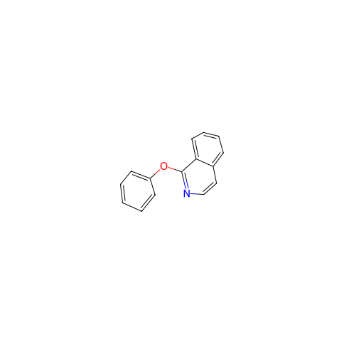 c1ccc(Oc2nccc3ccccc23)cc1